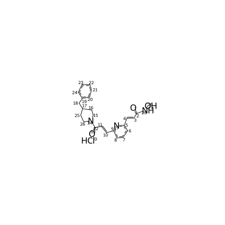 Cl.O=C(C=Cc1cccc(C=CC(=O)N2CCC(Cc3ccccc3)CC2)n1)NO